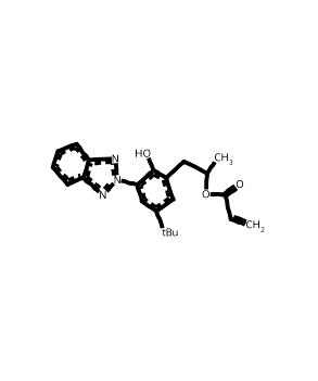 C=CC(=O)OC(C)Cc1cc(C(C)(C)C)cc(-n2nc3ccccc3n2)c1O